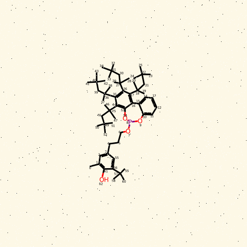 Cc1cc(CCCOp2oc3ccccc3c3c(C(C)(C)CC(C)(C)C)c(C(C)(C)CC(C)(C)C)c(C(C)(C)CC(C)(C)C)c(C(C)(C)CC(C)(C)C)c3o2)cc(C(C)(C)C)c1O